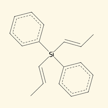 CC=C[Si](C=CC)(c1ccccc1)c1ccccc1